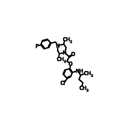 CCCC(C)Nc1cc(Cl)ccc1OCC(=O)N1CC(C)N(Cc2ccc(F)cc2)CC1C